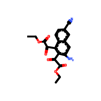 CCOC(=O)C(=O)c1c(N)cc2cc(C#N)ccc2c1C(=O)C(=O)OCC